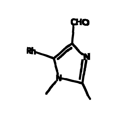 Cc1nc(C=O)[c]([Rh])n1C